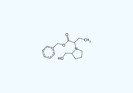 CCC(C(=O)OCc1ccccc1)N1CCCC1CO